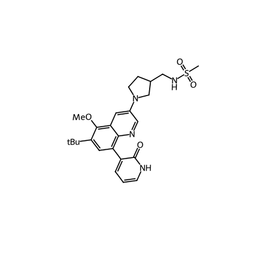 COc1c(C(C)(C)C)cc(-c2ccc[nH]c2=O)c2ncc(N3CCC(CNS(C)(=O)=O)C3)cc12